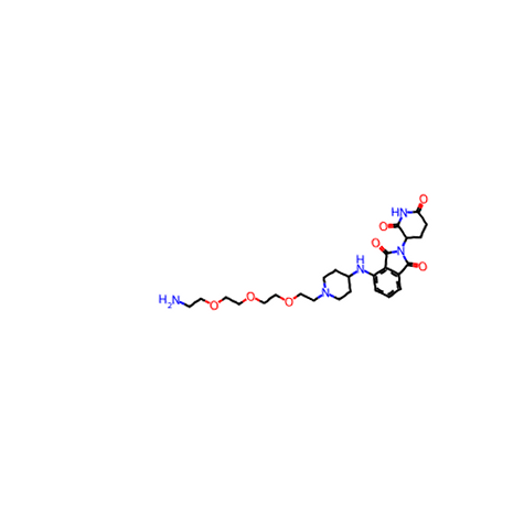 NCCOCCOCCOCCN1CCC(Nc2cccc3c2C(=O)N(C2CCC(=O)NC2=O)C3=O)CC1